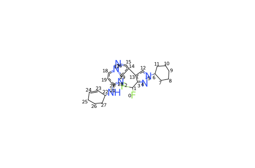 FC(F)c1nn(C2CCCCC2)cc1-c1cnn2ccc(NC3C=CCCC3)nc12